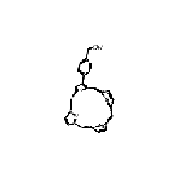 OCc1ccc(-c2cc3cc4nc(cc5ccc(cc6nc(cc2[nH]3)C=C6)[nH]5)C=C4)cc1